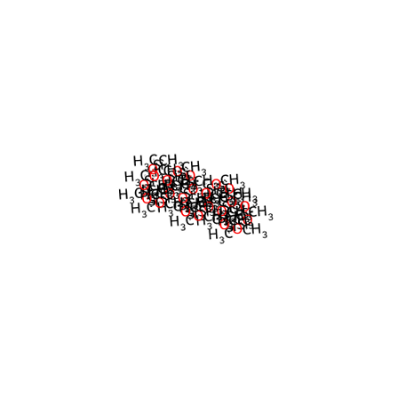 C[SiH](C)O[Si](C)(C)O[Si](C)(C)O[Si](C)(C)O[Si](C)(C)O[Si](C)(C)O[Si](C)(C)O[Si](C)(C)O[Si](C)(C)O[Si](C)(C)O[Si](C)(C)O[Si](C)(C)O[Si](C)(C)O[Si](C)(C)O[Si](C)(C)O[Si](C)(C)O[Si](C)(C)O[Si](C)(C)O[Si](C)(C)O[Si](C)(C)O[Si](C)(C)O[Si](C)(C)OO[Si](C)(C)C